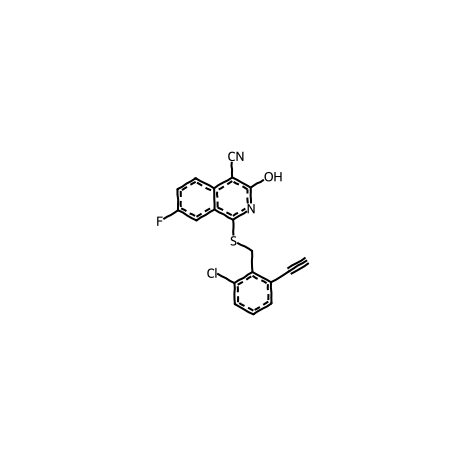 C#Cc1cccc(Cl)c1CSc1nc(O)c(C#N)c2ccc(F)cc12